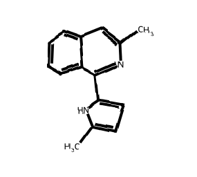 Cc1cc2ccccc2c(-c2ccc(C)[nH]2)n1